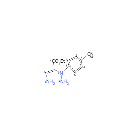 CCOC(=O)/C(=C/N)N(N)c1ccc(C#N)cc1